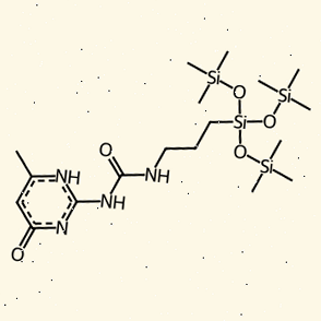 Cc1cc(=O)nc(NC(=O)NCCC[Si](O[Si](C)(C)C)(O[Si](C)(C)C)O[Si](C)(C)C)[nH]1